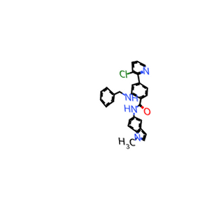 Cn1ccc2cc(NC(=O)c3ccc(-c4ncccc4Cl)cc3NCc3ccccc3)ccc21